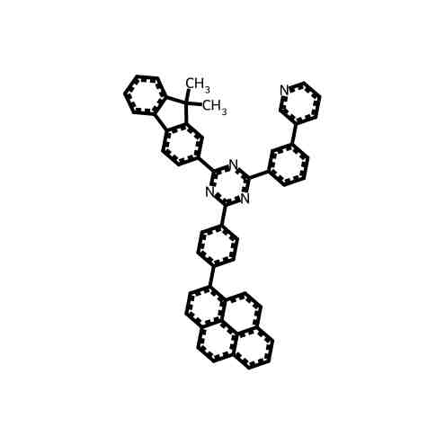 CC1(C)c2ccccc2-c2ccc(-c3nc(-c4ccc(-c5ccc6ccc7cccc8ccc5c6c78)cc4)nc(-c4cccc(-c5cccnc5)c4)n3)cc21